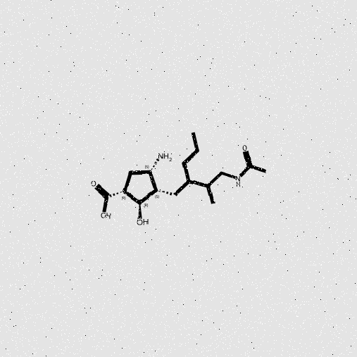 CCCC(C[C@@H]1[C@@H](O)[C@H](C(=O)O)C[C@@H]1N)C(C)CNC(C)=O